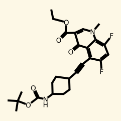 CCOC(=O)c1cn(C)c2c(F)cc(F)c(C#CC3CCC(NC(=O)OC(C)(C)C)CC3)c2c1=O